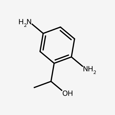 CC(O)c1cc(N)ccc1N